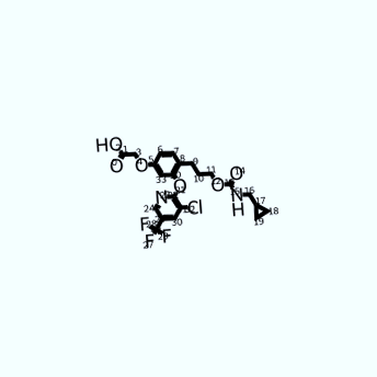 O=C(O)COc1ccc(CCCOC(=O)NCC2CC2)c(Oc2ncc(C(F)(F)F)cc2Cl)c1